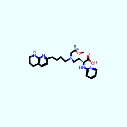 CO[C@H](C)CN(CCCCc1ccc2c(n1)NCCC2)CC[C@H](Nc1ccccn1)C(=O)O